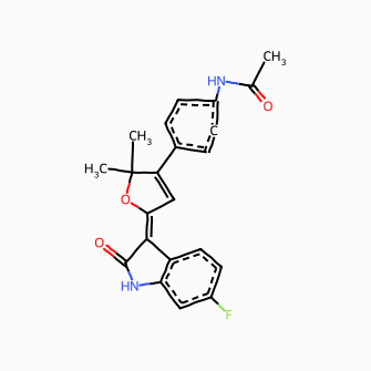 CC(=O)Nc1ccc(C2=CC(=C3C(=O)Nc4cc(F)ccc43)OC2(C)C)cc1